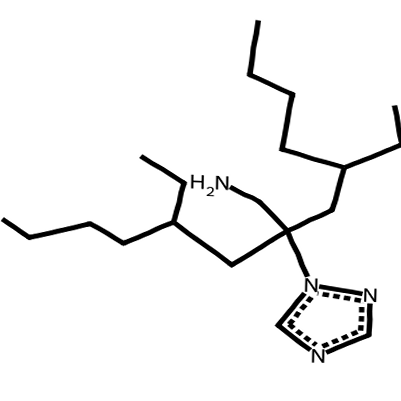 CCCCC(CC)CC(CN)(CC(CC)CCCC)n1cncn1